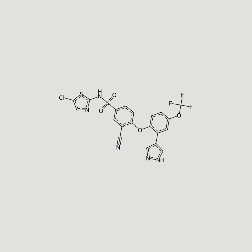 N#Cc1cc(S(=O)(=O)Nc2ncc(Cl)s2)ccc1Oc1ccc(OC(F)(F)F)cc1-c1cn[nH]c1